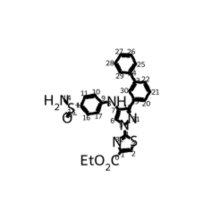 CCOC(=O)c1csc(-n2cc(Nc3ccc([S+](N)[O-])cc3)c(-c3cccc(-c4ccccc4)c3)n2)n1